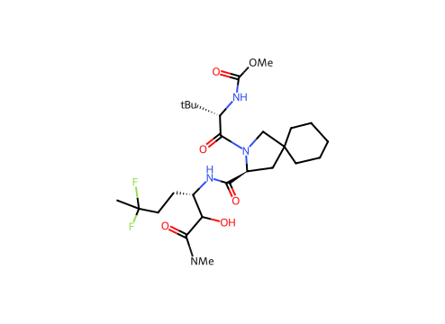 CNC(=O)C(O)[C@H](CCC(C)(F)F)NC(=O)[C@@H]1CC2(CCCCC2)CN1C(=O)[C@@H](NC(=O)OC)C(C)(C)C